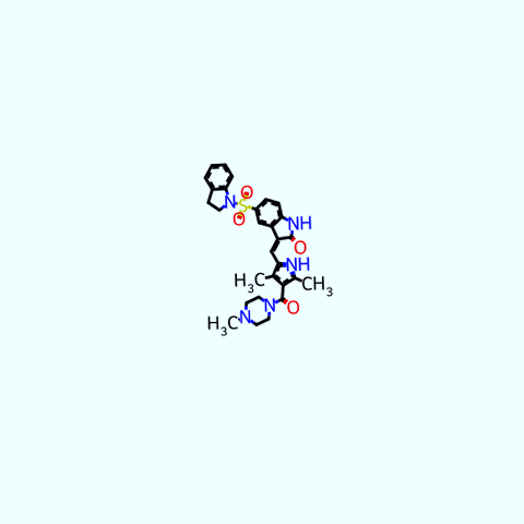 Cc1[nH]c(C=C2C(=O)Nc3ccc(S(=O)(=O)N4CCc5ccccc54)cc32)c(C)c1C(=O)N1CCN(C)CC1